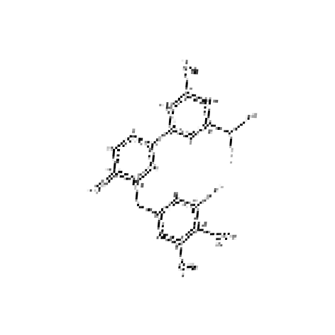 COc1cc(Cn2cc(-c3cc(C(F)F)nc(SC)n3)ccc2=O)cc(F)c1OC